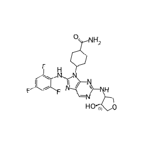 NC(=O)C1CCC(n2c(Nc3c(F)cc(F)cc3F)nc3cnc(NC4COC[C@H]4O)nc32)CC1